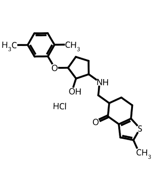 Cc1ccc(C)c(OC2CCC(NCC3CCc4sc(C)cc4C3=O)C2O)c1.Cl